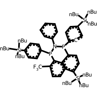 CCCC[Si](CCCC)(CCCC)c1ccc(P(c2ccc([Si](CCCC)(CCCC)CCCC)cc2)N(c2ccccc2)P(c2ccc([Si](CCCC)(CCCC)CCCC)cc2)c2ccccc2C(F)(F)F)cc1